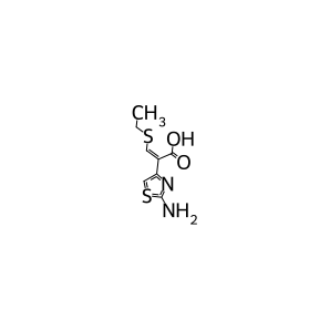 CCSC=C(C(=O)O)c1csc(N)n1